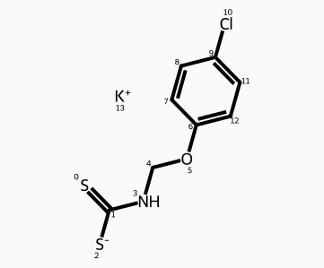 S=C([S-])NCOc1ccc(Cl)cc1.[K+]